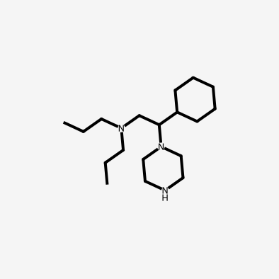 CCCN(CCC)CC(C1CCCCC1)N1CCNCC1